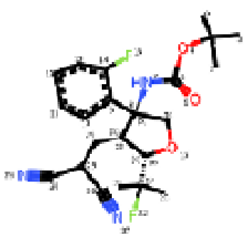 CC(C)(C)OC(=O)N[C@@]1(c2ccccc2F)CO[C@H](C(C)(C)F)[C@H]1CC(C#N)C#N